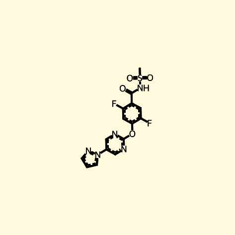 CS(=O)(=O)NC(=O)c1cc(F)c(Oc2ncc(-n3cccn3)cn2)cc1F